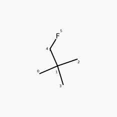 CC(C)(C)[CH]F